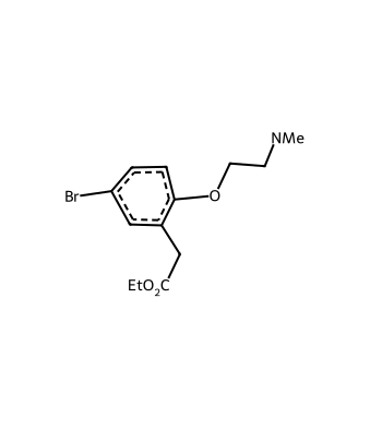 CCOC(=O)Cc1cc(Br)ccc1OCCNC